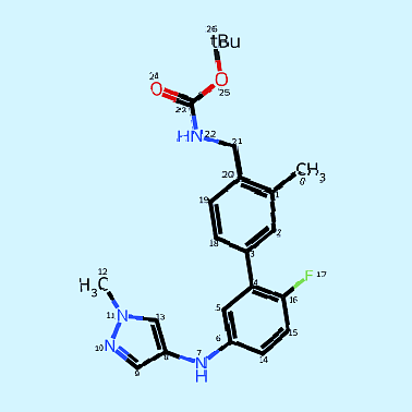 Cc1cc(-c2cc(Nc3cnn(C)c3)ccc2F)ccc1CNC(=O)OC(C)(C)C